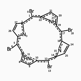 Brc1c2nc(c(Br)c3ccc([nH]3)c(Br)c3nc(c(Br)c4ccc1[nH]4)C=C3)C=C2